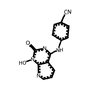 N#Cc1ccc(Nc2nc(=O)n(O)c3ncccc23)cc1